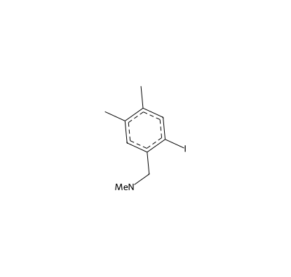 CNCc1cc(C)c(C)cc1I